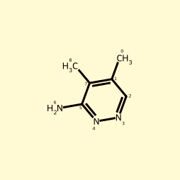 Cc1cnnc(N)c1C